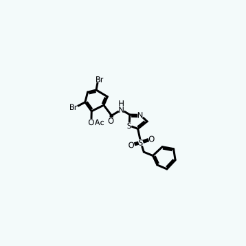 CC(=O)Oc1c(Br)cc(Br)cc1C(=O)Nc1ncc(S(=O)(=O)Cc2ccccc2)s1